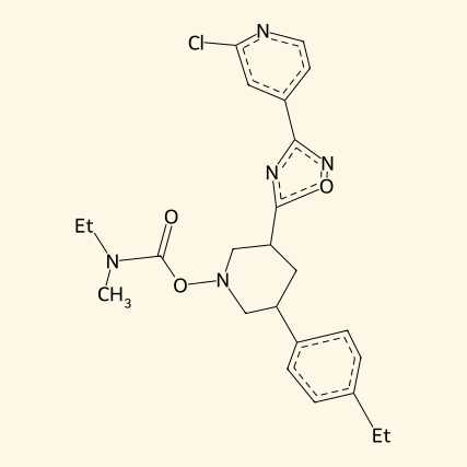 CCc1ccc(C2CC(c3nc(-c4ccnc(Cl)c4)no3)CN(OC(=O)N(C)CC)C2)cc1